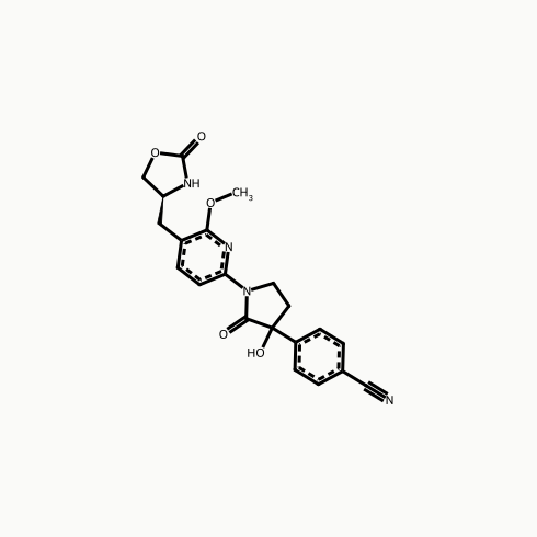 COc1nc(N2CCC(O)(c3ccc(C#N)cc3)C2=O)ccc1C[C@H]1COC(=O)N1